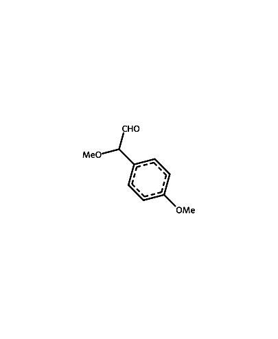 COc1ccc(C(C=O)OC)cc1